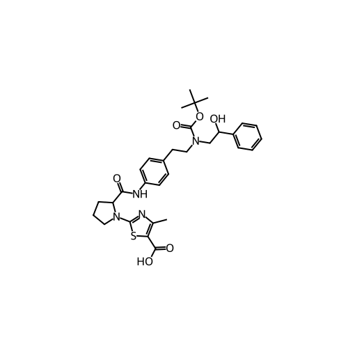 Cc1nc(N2CCCC2C(=O)Nc2ccc(CCN(CC(O)c3ccccc3)C(=O)OC(C)(C)C)cc2)sc1C(=O)O